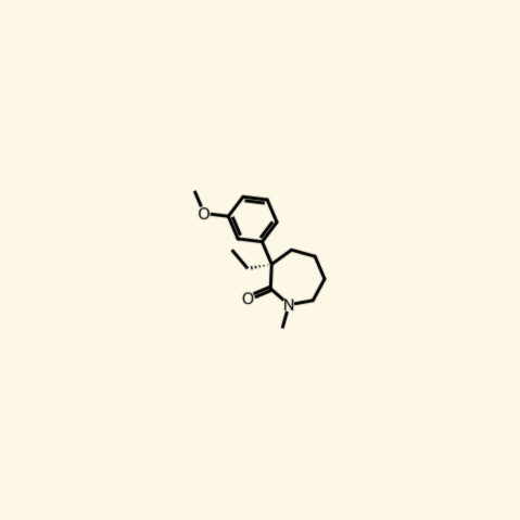 CC[C@]1(c2cccc(OC)c2)CCCCN(C)C1=O